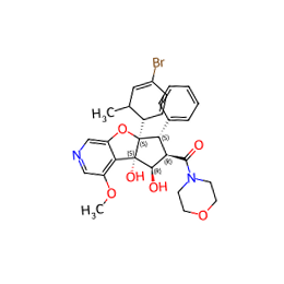 COc1cncc2c1[C@]1(O)[C@H](O)[C@H](C(=O)N3CCOCC3)[C@@H](c3ccccc3)[C@]1(C1C=CC(Br)=CC1C)O2